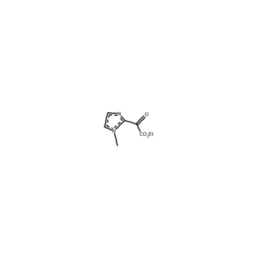 CCOC(=O)C(=O)c1nccn1C